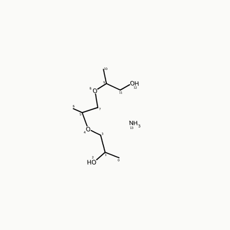 CC(O)COC(C)COC(C)CO.N